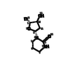 CC[C@H]1O[C@@H](N2CCCNC2=O)CC1O